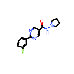 O=C(NN1CCCC1)c1cnc(-c2cccc(F)c2)nc1